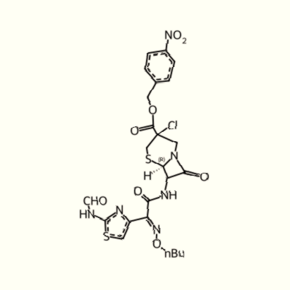 CCCCON=C(C(=O)NC1C(=O)N2CC(Cl)(C(=O)OCc3ccc([N+](=O)[O-])cc3)CS[C@H]12)c1csc(NC=O)n1